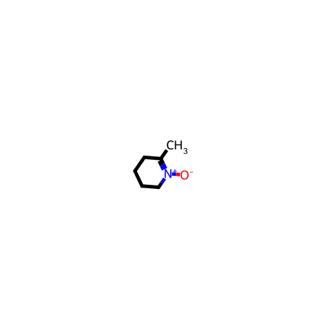 CC1=[N+]([O-])CCCC1